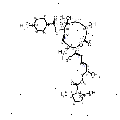 C/C(=C\C=C\[C@@H](C)COC(=O)N1[C@@H](C)CC[C@@H]1C)[C@H]1OC(=O)C[C@@H](O)CC[C@](C)(O)[C@H](OC(=O)N2CCN(C)CC2)/C=C/[C@@H]1C